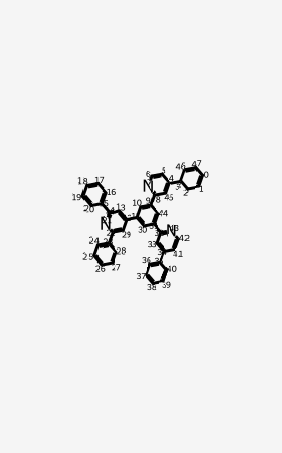 C1=CCC(c2ccnc(-c3cc(-c4cc(-c5ccccc5)nc(-c5ccccc5)c4)cc(-c4cc(-c5ccccc5)ccn4)c3)c2)C=C1